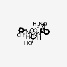 NC(=O)n1cc(NC(=O)N2C[C@@H](CO)C[C@H]2C(=O)NCc2cccc(Cl)c2F)c2ccccc21